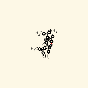 Cc1ccc(N(c2ccc(C)cc2)c2cc3c4c(c2)N(c2ccccc2)c2ccccc2B4c2cc4c(cc2O3)Oc2cc(N(c3ccc(C)cc3)c3ccc(C)cc3)cc3c2B4c2c(sc4ccccc24)N3c2ccccc2)cc1